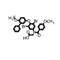 COc1ccc(C(=O)N(CC(=O)O)c2cc(Br)c(Oc3ccc(OC)c(-c4ccccc4)c3)c(Br)c2)cc1